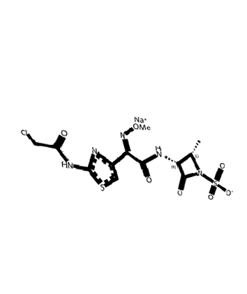 CON=C(C(=O)N[C@H]1C(=O)N(S(=O)(=O)[O-])[C@H]1C)c1csc(NC(=O)CCl)n1.[Na+]